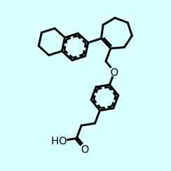 O=C(O)CCc1ccc(OCC2=C(c3ccc4c(c3)CCCC4)CCCCC2)cc1